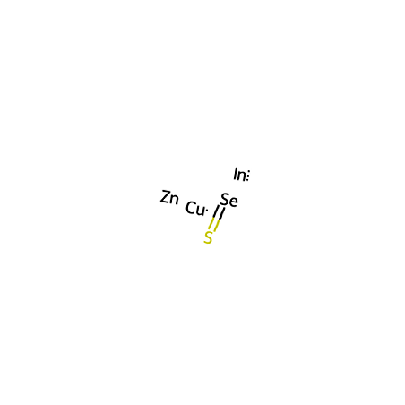 S=[Se].[Cu].[In].[Zn]